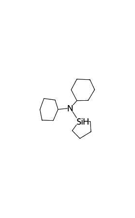 C1CCC(N(C2CCCCC2)[SiH]2CCCC2)CC1